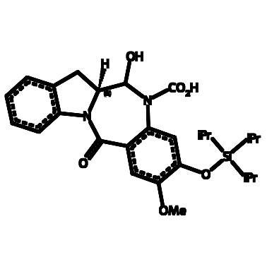 COc1cc2c(cc1O[Si](C(C)C)(C(C)C)C(C)C)N(C(=O)O)C(O)[C@@H]1Cc3ccccc3N1C2=O